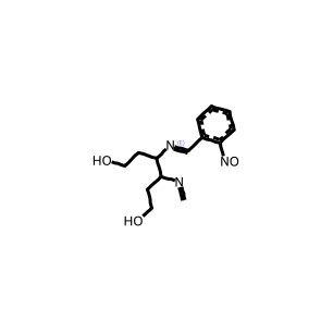 C=NC(CCO)C(CCO)/N=C/c1ccccc1N=O